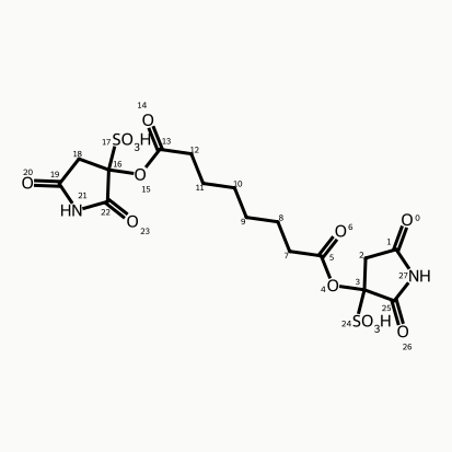 O=C1CC(OC(=O)CCCCCCC(=O)OC2(S(=O)(=O)O)CC(=O)NC2=O)(S(=O)(=O)O)C(=O)N1